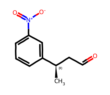 C[C@H](CC=O)c1cccc([N+](=O)[O-])c1